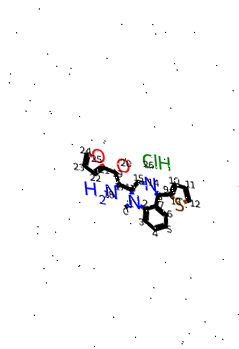 CN1c2ccccc2C(c2cccs2)=NCC1C(N)C(=O)c1ccco1.Cl